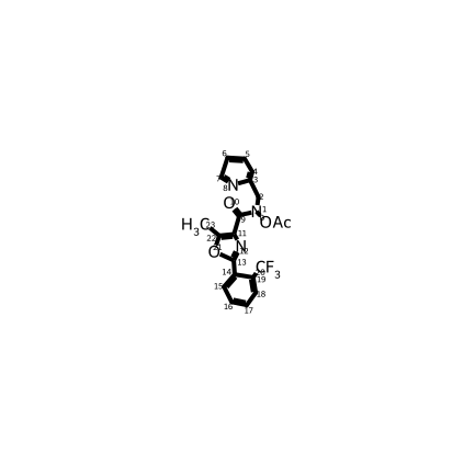 CC(=O)ON(Cc1ccccn1)C(=O)c1nc(-c2ccccc2C(F)(F)F)oc1C